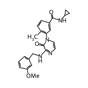 COc1cccc(CNc2nccn(-c3cc(C(=O)NC4CC4)ccc3C)c2=O)c1